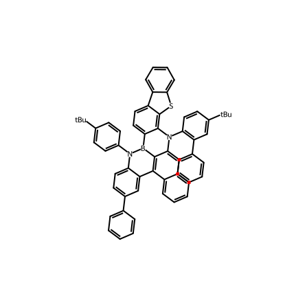 CC(C)(C)c1ccc(N2B3c4ccc5c(sc6ccccc65)c4N(c4ccc(C(C)(C)C)cc4-c4ccccc4)c4cc5ccccc5c(c43)-c3cc(-c4ccccc4)ccc32)cc1